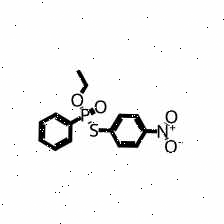 CCOP(=O)(Sc1ccc([N+](=O)[O-])cc1)c1ccccc1